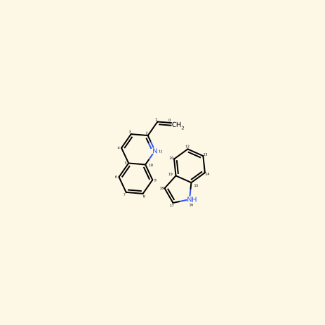 C=Cc1ccc2ccccc2n1.c1ccc2[nH]ccc2c1